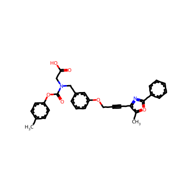 Cc1ccc(OC(=O)N(CC(=O)O)Cc2cccc(OCC#Cc3nc(-c4ccccc4)oc3C)c2)cc1